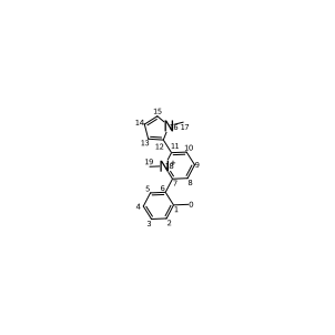 Cc1ccccc1-c1cccc(-c2cccn2C)[n+]1C